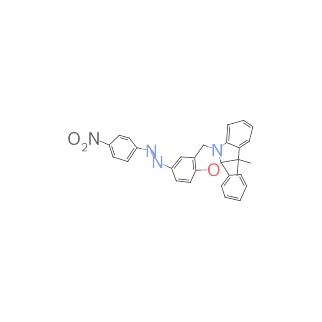 CC1(C)c2ccccc2N2Cc3cc(N=Nc4ccc([N+](=O)[O-])cc4)ccc3OC21c1ccccc1